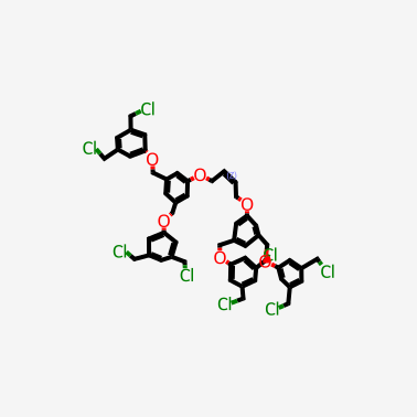 ClCc1cc(CCl)cc(OCc2cc(COc3cc(CCl)cc(CCl)c3)cc(OC/C=C\COc3cc(COc4cc(CCl)cc(CCl)c4)cc(COc4cc(CCl)cc(CCl)c4)c3)c2)c1